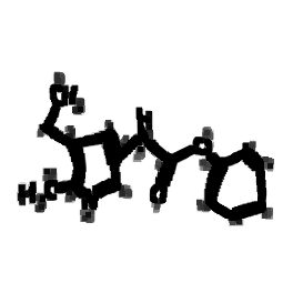 CCc1cc(NC(=O)Oc2ccccc2)cnc1C